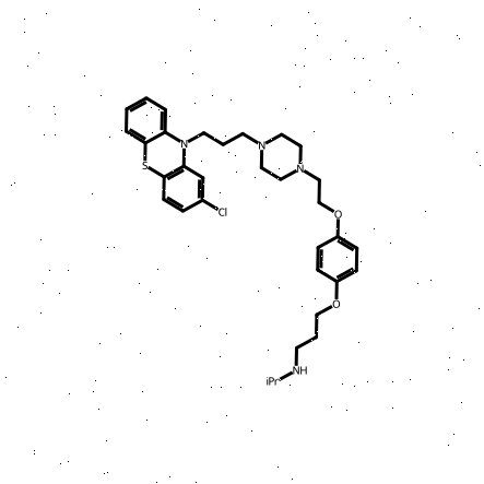 CC(C)NCCCOc1ccc(OCCN2CCN(CCCN3c4ccccc4Sc4ccc(Cl)cc43)CC2)cc1